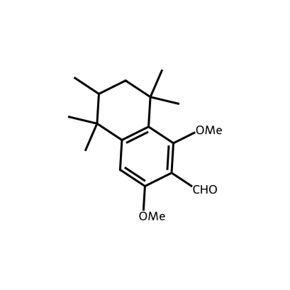 COc1cc2c(c(OC)c1C=O)C(C)(C)CC(C)C2(C)C